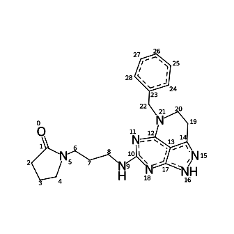 O=C1CCCN1CCCNc1nc2c3c(n[nH]c3n1)CCN2Cc1ccccc1